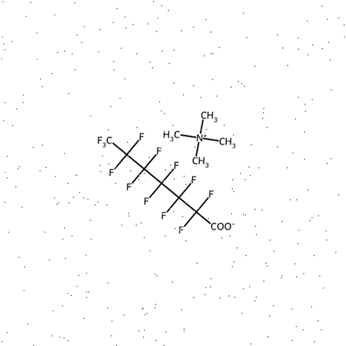 C[N+](C)(C)C.O=C([O-])C(F)(F)C(F)(F)C(F)(F)C(F)(F)C(F)(F)C(F)(F)F